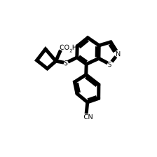 N#Cc1ccc(-c2c(SC3(C(=O)O)CCC3)ccc3cnsc23)cc1